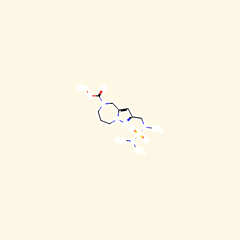 CN(C)S(=O)(=O)N(C)Cc1cc2n(n1)CCCN(C(=O)OC(C)(C)C)C2